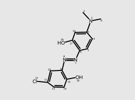 CN(C)c1ccc(N=Nc2cc(Cl)ccc2O)c(O)c1